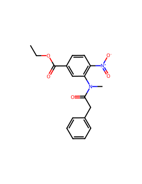 CCOC(=O)c1ccc([N+](=O)[O-])c(N(C)C(=O)Cc2ccccc2)c1